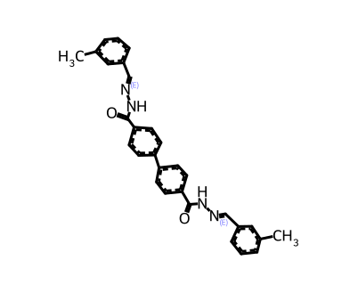 Cc1cccc(/C=N/NC(=O)c2ccc(-c3ccc(C(=O)N/N=C/c4cccc(C)c4)cc3)cc2)c1